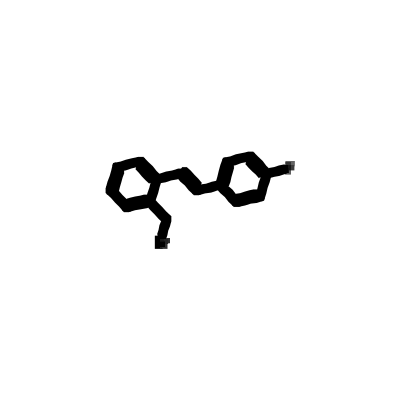 Fc1ccc(C=Cc2ccccc2CBr)cc1